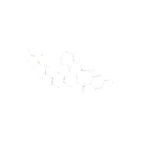 Cc1cnc(NC(=O)c2ccc(CN3C(=O)c4ccc(Cl)cc4NC(=O)[C@H]3Cc3ccccn3)cc2)s1